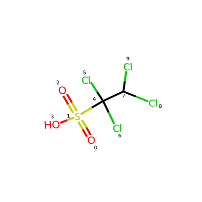 O=S(=O)(O)C(Cl)(Cl)C(Cl)Cl